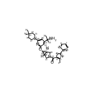 Cc1nc(-c2ncccn2)sc1C(=O)N1C[C@@H]2[C@H](C1)[C@@H]2Oc1cc(C(C)(C)N)cc(N2CCC(C)(C)CC2)n1